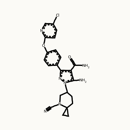 N#CN1CC(n2nc(-c3ccc(Oc4ccc(Cl)cn4)cc3)c(C(N)=O)c2N)CCC12CC2